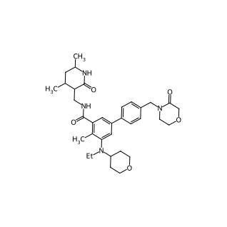 CCN(c1cc(-c2ccc(CN3CCOCC3=O)cc2)cc(C(=O)NCC2C(=O)NC(C)CC2C)c1C)C1CCOCC1